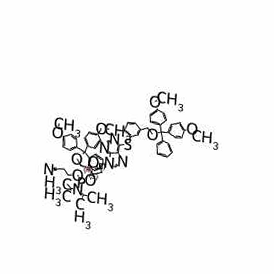 COc1ccc(C(OCc2cccc(Sc3ncnc4c3ncn4[C@H]3C[C@H](OP(OCCC#N)N(C(C)C)C(C)C)[C@@H](COC(c4ccccc4)(c4ccc(OC)cc4)c4ccc(OC)cc4)O3)c2)(c2ccccc2)c2ccc(OC)cc2)cc1